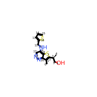 Cc1c([C@@H](C)CO)sc2c(NCc3cccs3)cnnc12